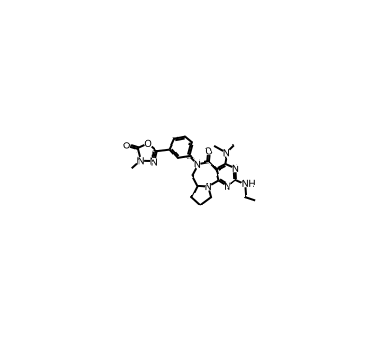 CCNc1nc(N(C)C)c2c(n1)N1CCCC1CN(c1cccc(-c3nn(C)c(=O)o3)c1)C2=O